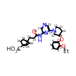 CCOc1ccccc1O[C@@H]1CCCN(c2cncc(NC(=O)CCC34CCC(C(=O)O)=C3C4)n2)C1